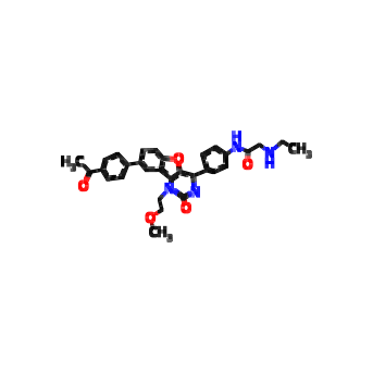 CCNCC(=O)Nc1ccc(-c2nc(=O)n(CCOC)c3c2oc2ccc(-c4ccc(C(C)=O)cc4)cc23)cc1